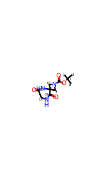 CC(C)(C)OC(=O)N1CC2(C1)NC(=O)CNC2=O